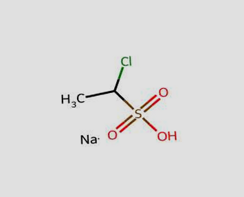 CC(Cl)S(=O)(=O)O.[Na]